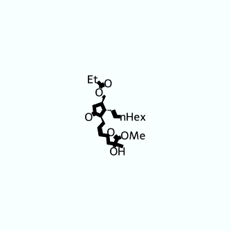 CCCCCC/C=C/[C@H]1[C@H](COC(=O)CC)CC(=O)[C@@H]1C/C=C\CCC(C)(O)C(=O)OC